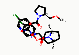 COC[C@@H]1CCCN1C(=O)c1cc(Cl)cnc1NCC(=O)N1[C@@H]2CC[C@H]1CC(Oc1ccc(F)cc1)C2